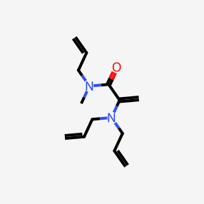 C=CCN(C)C(=O)C(=C)N(CC=C)CC=C